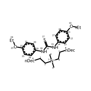 CCCCCCCCCCCC[N+](C)(C)CCCCCCCCCCCC.CCOc1ccc(NC(=S)Nc2ccc(OCC)cc2)cc1